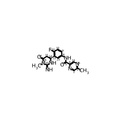 Cc1cnc(C(=O)Nc2ccc(F)c([C@@H]3CC(=O)N(C)C(=N)N3)c2)cn1